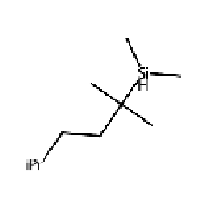 CC(C)CCC(C)(C)[SiH](C)C